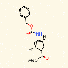 COC(=O)[C@H]1C[C@H]2C[C@@H]1C[C@@H]2NC(=O)OCc1ccccc1